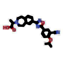 CC(C)Oc1ccc(-c2nc(-c3ccc4c(c3)CCN(C(C)C(=O)O)CC4)no2)cc1C#N